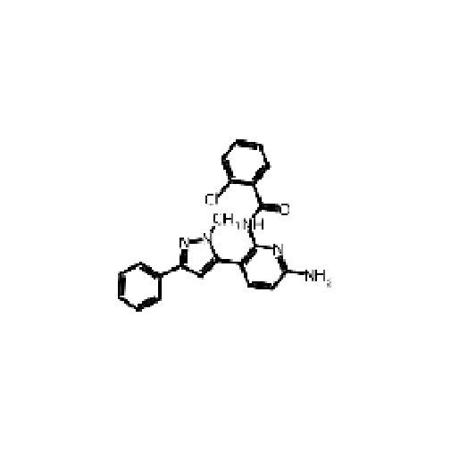 Cn1nc(-c2ccccc2)cc1-c1ccc(N)nc1NC(=O)c1ccccc1Cl